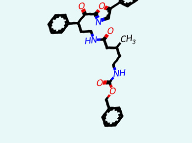 CC(CCNC(=O)OCc1ccccc1)CC(=O)NCCC(C(=O)c1ncc(-c2ccccc2)o1)c1ccccc1